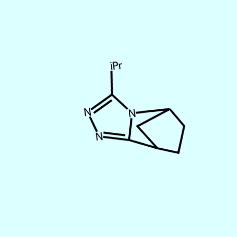 CC(C)c1nnc2n1C1CCC2C1